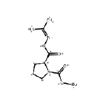 CC(N)=NOC(=O)[C@@H]1CCCN1C(=O)OC(C)(C)C